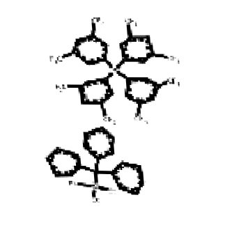 CC[N+](CC)(CC)C(c1ccccc1)(c1ccccc1)c1ccccc1.FC(F)(F)c1cc([B-](c2cc(C(F)(F)F)cc(C(F)(F)F)c2)(c2cc(C(F)(F)F)cc(C(F)(F)F)c2)c2cc(C(F)(F)F)cc(C(F)(F)F)c2)cc(C(F)(F)F)c1